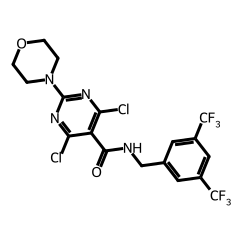 O=C(NCc1cc(C(F)(F)F)cc(C(F)(F)F)c1)c1c(Cl)nc(N2CCOCC2)nc1Cl